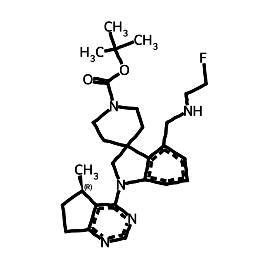 C[C@@H]1CCc2ncnc(N3CC4(CCN(C(=O)OC(C)(C)C)CC4)c4c(CNCCF)cccc43)c21